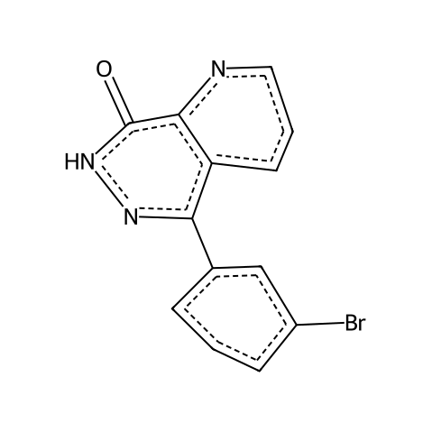 O=c1[nH]nc(-c2cccc(Br)c2)c2cccnc12